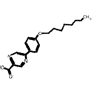 CCCCCCCCOc1ccc(-c2cnc(C(=O)O)cn2)cc1